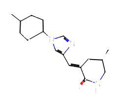 CC1CCC(n2cnc(/C=C3\C[C@@H](C)CNC3=O)c2)CC1